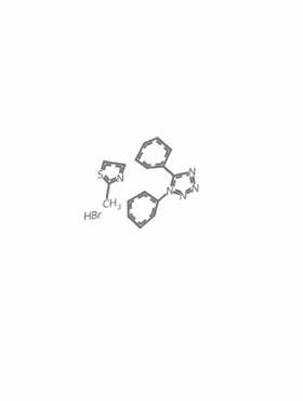 Br.Cc1nccs1.c1ccc(-c2nnnn2-c2ccccc2)cc1